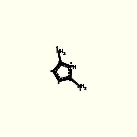 Nc1ccc(N)[pH]1